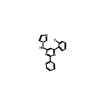 Fc1ccccc1-c1cc(Nn2ccnc2)nc(-c2ccccc2)n1